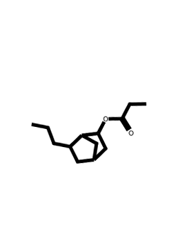 CCCC1CC2CC(OC(=O)CC)C1C2